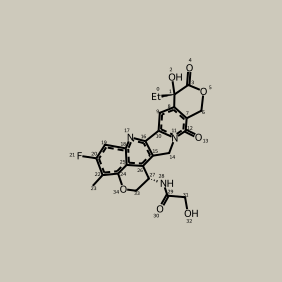 CC[C@@]1(O)C(=O)OCc2c1cc1n(c2=O)Cc2c-1nc1cc(F)c(C)c3c1c2[C@H](NC(=O)CO)CO3